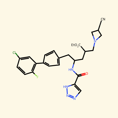 CCOC(=O)C(CC(Cc1ccc(-c2cc(Cl)ccc2F)cc1)NC(=O)c1cnn[nH]1)CN1CC(C#N)C1